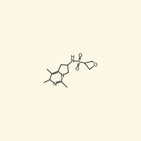 CC1=NC(C)C(C)=C2CC(NS(=O)(=O)C3COC3)CN12